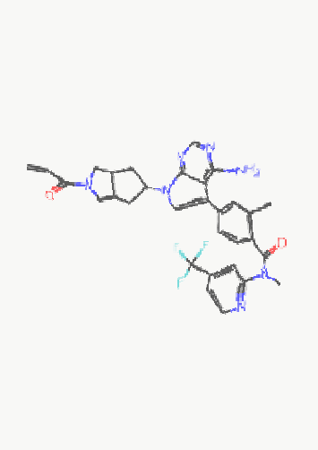 C=CC(=O)N1CC2CC(n3cc(-c4ccc(C(=O)N(C)c5cc(C(F)(F)F)ccn5)c(C)c4)c4c(N)ncnc43)CC2C1